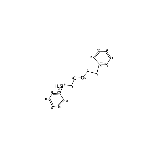 c1ccc(CCOOC[SiH2]c2ccccc2)cc1